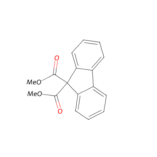 COC(=O)C1(C(=O)OC)c2ccccc2-c2ccccc21